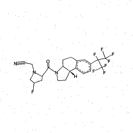 N#CCN1CC(F)CC1C(=O)N1CC[C@H]2c3ccc(C(F)(C(F)(F)F)C(F)(F)F)cc3CCC21